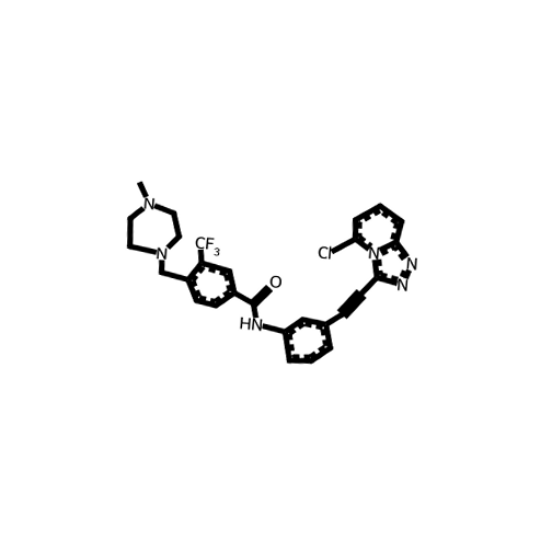 CN1CCN(Cc2ccc(C(=O)Nc3cccc(C#Cc4nnc5cccc(Cl)n45)c3)cc2C(F)(F)F)CC1